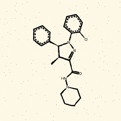 C[C@@H]1C(C(=O)NN2CCCCC2)=NN(c2ccccc2Cl)[C@@H]1c1ccccc1